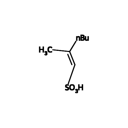 CCCCC(C)=CS(=O)(=O)O